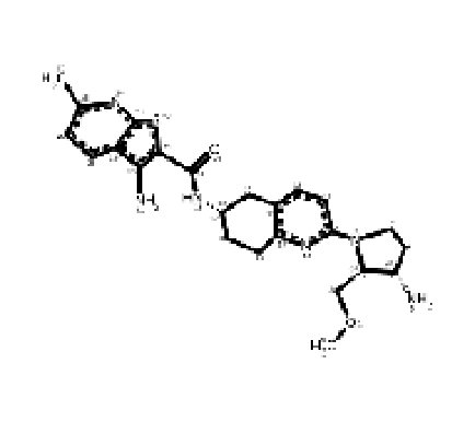 COC[C@@H]1[C@@H](N)CCN1c1ccc2c(n1)CC[C@H](NC(=O)c1sc3nc(C)ccc3c1N)C2